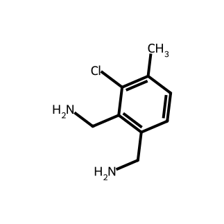 Cc1ccc(CN)c(CN)c1Cl